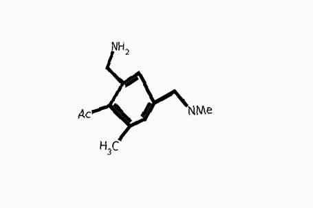 CNCc1cc(C)c(C(C)=O)c(CN)c1